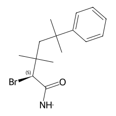 CC(C)(CC(C)(C)[C@H](Br)C([NH])=O)c1ccccc1